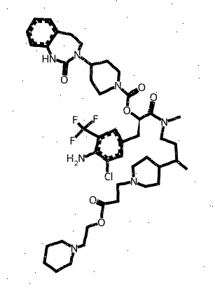 CC(CCN(C)C(=O)[C@@H](Cc1cc(Cl)c(N)c(C(F)(F)F)c1)OC(=O)N1CCC(N2CCc3ccccc3NC2=O)CC1)C1CCN(CCC(=O)OCCN2CCCCC2)CC1